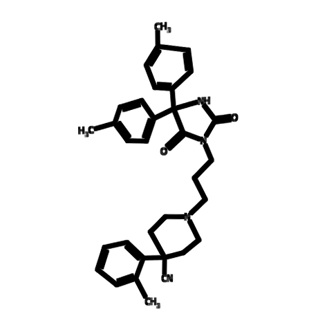 Cc1ccc(C2(c3ccc(C)cc3)NC(=O)N(CCCN3CCC(C#N)(c4ccccc4C)CC3)C2=O)cc1